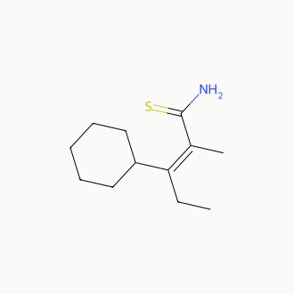 CCC(=C(C)C(N)=S)C1CCCCC1